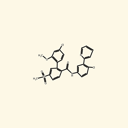 COc1cc(Cl)ccc1-c1cc(S(C)(=O)=O)ccc1C(=O)Nc1ccc(Cl)c(-c2ccccn2)c1